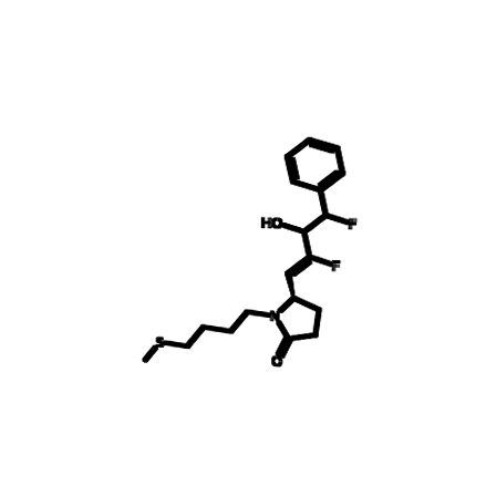 CSCCCCN1C(=O)CC[C@@H]1C=C(F)C(O)C(F)c1ccccc1